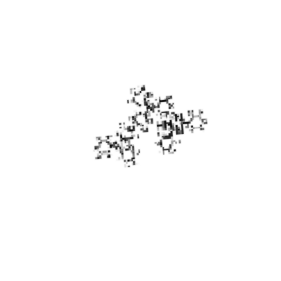 C1=CCCC(C2=NC(c3cccc(-n4c5ccccc5c5cc(-c6ccc7c(c6)c6ccccc6n7-c6ccccc6)ccc54)c3)NC(c3ccccc3)=N2)=C1